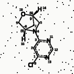 Clc1cc(N2C[C@@H]3C[C@H]2CO3)ncn1